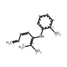 C=C/C=C\C(Nc1ccccc1[N+](=O)[O-])=C(/C)[N+](=O)[O-]